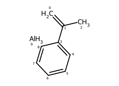 C=C(C)c1ccccc1.[AlH3]